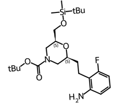 CC(C)(C)OC(=O)N1C[C@@H](CO[Si](C)(C)C(C)(C)C)O[C@@H](CCc2c(N)cccc2F)C1